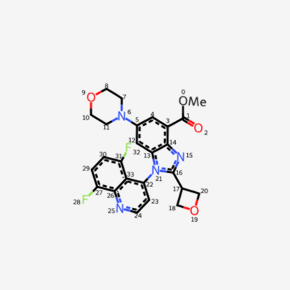 COC(=O)c1cc(N2CCOCC2)cc2c1nc(C1COC1)n2-c1ccnc2c(F)ccc(F)c12